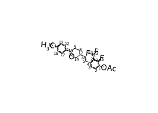 CC(=O)Oc1ccc(/C=C/C2CCC(c3ccc(C)cc3)OC2)c(C(F)F)c1F